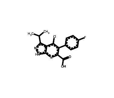 CC(C)c1n[nH]c2nc(C(=O)O)c(-c3ccc(F)cc3)c(Cl)c12